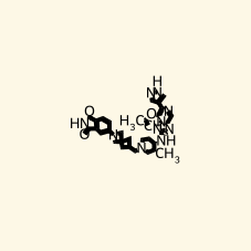 CC(C)Oc1c(-c2cn[nH]c2)ncc2nc(N[C@H]3CCN(CC4CC5(C4)CN(c4ccc6c(c4)C(=O)NC6=O)C5)C[C@H]3C)nn12